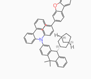 CC1(C)c2ccccc2C([C@@H]2C[C@@H]3CC[C@@H](C3)C2)c2cc(N(c3ccc(-c4ccc5c(c4)oc4ccccc45)cc3)c3ccccc3-c3ccccc3)ccc21